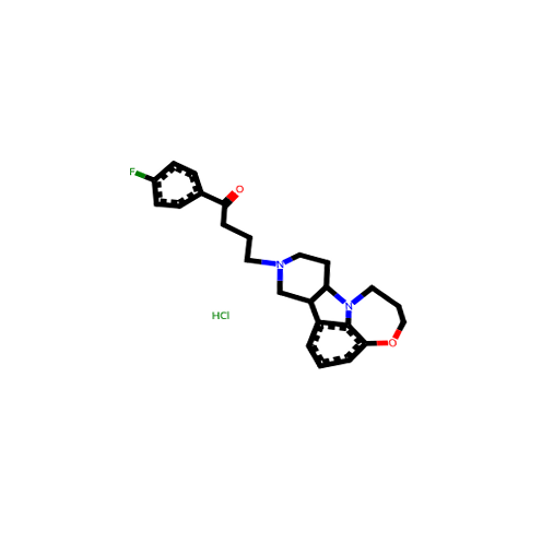 Cl.O=C(CCCN1CCC2C(C1)c1cccc3c1N2CCCO3)c1ccc(F)cc1